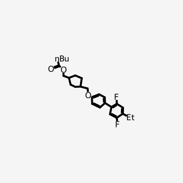 [CH2+][CH-]CCC(=O)OCC1CCC(COc2ccc(-c3cc(F)c(CC)cc3F)cc2)CC1